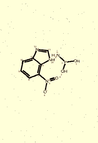 NP(O)O.O=[N+]([O-])c1cccc2nc[nH]c12